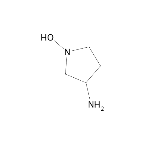 NC1CCN(O)C1